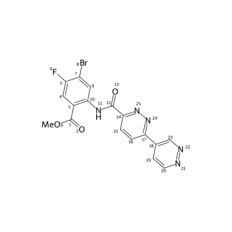 COC(=O)c1cc(F)c(Br)cc1NC(=O)c1ccc(-c2ccnnc2)nn1